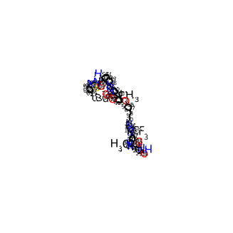 Cc1c(OC2CCC(CCCCN3CCN(c4ccc5c(C6CCC(=O)NC6=O)nn(C)c5c4)[C@@H](C(F)(F)F)C3)CC2)cccc1-c1ccc(N2CCc3cccc(C(=O)Nc4nc5ccccc5s4)c3C2)nc1C(=O)OC(C)(C)C